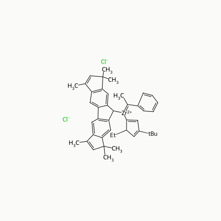 CCC1C=C(C(C)(C)C)C=[C]1/[Zr+2](=[C](/C)c1ccccc1)[CH]1c2cc3c(cc2-c2cc4c(cc21)C(C)(C)C=C4C)C(C)=CC3(C)C.[Cl-].[Cl-]